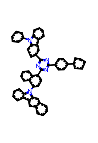 c1ccc(-c2ccc(-c3nc(-c4ccc5c(c4)c4ccccc4n5-c4ccccc4)nc(-c4ccc(-n5c6ccccc6c6cc7ccccc7cc65)c5ccccc45)n3)cc2)cc1